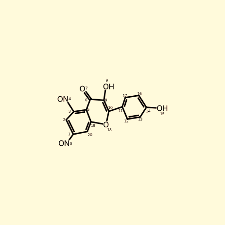 O=Nc1cc(N=O)c2c(=O)c(O)c(-c3ccc(O)cc3)oc2c1